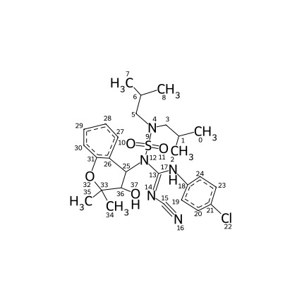 CC(C)CN(CC(C)C)S(=O)(=O)N(C(=NC#N)Nc1ccc(Cl)cc1)C1c2ccccc2OC(C)(C)C1O